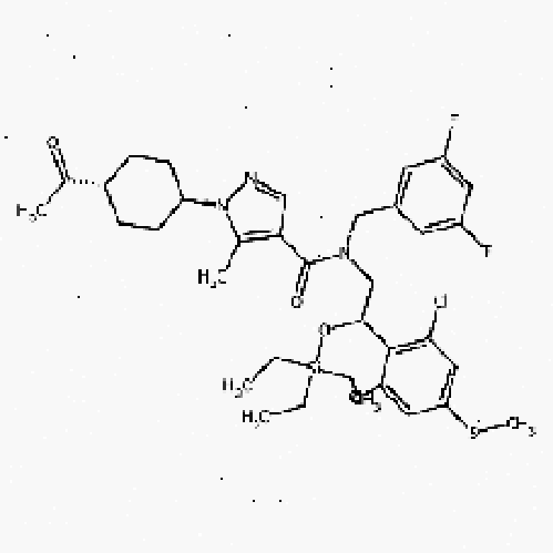 CC[Si](CC)(CC)OC(CN(Cc1cc(F)cc(F)c1)C(=O)c1cnn([C@H]2CC[C@H](C(C)=O)CC2)c1C)c1c(Cl)cc(SC)cc1Cl